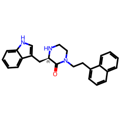 O=C1[C@@H](Cc2c[nH]c3ccccc23)NCCN1CCc1cccc2ccccc12